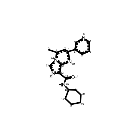 Cc1cc(-c2cccnc2)nc2c(C(=O)NC3CCCCC3)ncn12